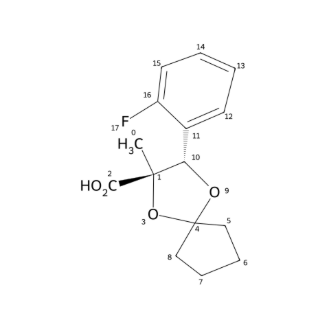 C[C@@]1(C(=O)O)OC2(CCCC2)O[C@H]1c1ccccc1F